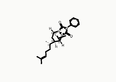 CC(C)=CCC[C@H](C)[C@H]1C[C@H]2CC(C)[C@@H]1n1c(=O)n(-c3ccccc3)c(=O)n12